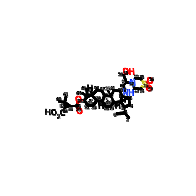 C=C(C)[C@@H]1CC[C@]2(NC[C@@H](CO)N3CCS(=O)(=O)CC3)CC[C@]3(C)[C@H](CC[C@@H]4[C@@]5(C)CC[C@H](OC(=O)[C@H]6[C@@H](C(=O)O)C6(C)C)C(C)(C)[C@@H]5CC[C@]43C)[C@@H]12